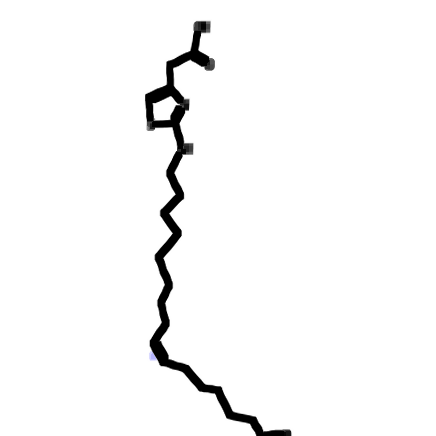 O=CCCCCC/C=C\CCCCCCCCNc1nc(CC(=O)O)cs1